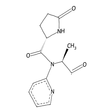 C[C@@H]([C]=O)N(C(=O)[C@@H]1CCC(=O)N1)c1ccccn1